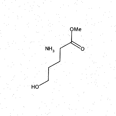 COC(=O)CCCCO.N